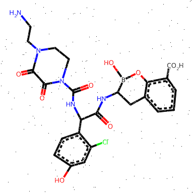 NCCN1CCN(C(=O)NC(C(=O)NC2Cc3cccc(C(=O)O)c3OB2O)c2ccc(O)cc2Cl)C(=O)C1=O